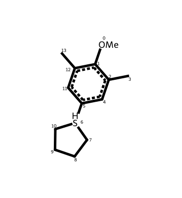 COc1c(C)cc([SH]2CCCC2)cc1C